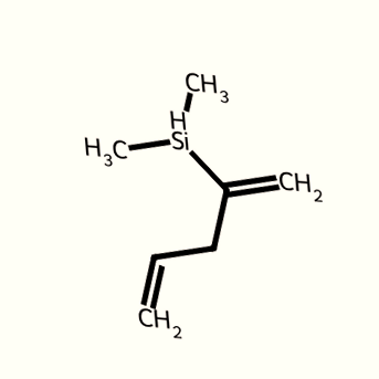 C=CCC(=C)[SiH](C)C